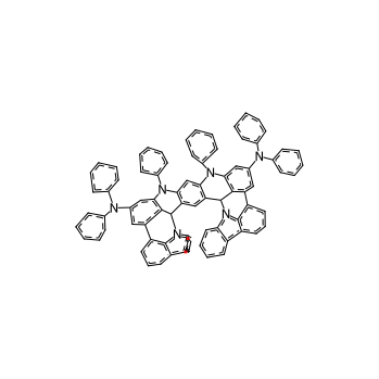 c1ccc(N(c2ccccc2)c2cc3c4c(c2)N(c2ccccc2)c2cc5c(cc2C4n2c4ccccc4c4cccc-3c42)C2c3c(cc(N(c4ccccc4)c4ccccc4)cc3N5c3ccccc3)-c3cccc4c5ccccc5n2c34)cc1